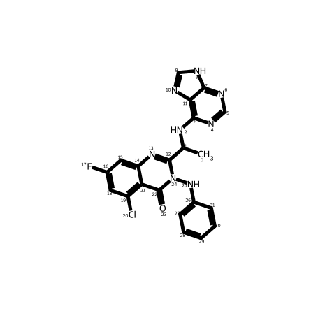 CC(Nc1ncnc2[nH]cnc12)c1nc2cc(F)cc(Cl)c2c(=O)n1Nc1ccccc1